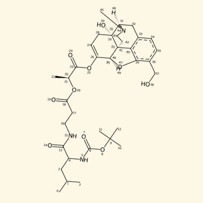 CC(C)CC(NC(=O)OC(C)(C)C)C(=O)NCCC(=O)O[C@@H](C)C(=O)OC1=CC[C@@]2(O)[C@H]3Cc4ccc(CO)c5c4[C@@]2(CCN3C)[C@H]1O5